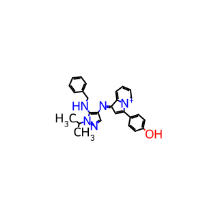 CC(C)n1ncc(/N=C2\C=C(c3ccc(O)cc3)[n+]3ccccc32)c1NCc1ccccc1